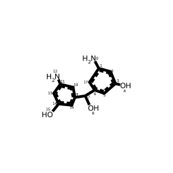 Nc1cc(O)cc(C(O)c2cc(N)cc(O)c2)c1